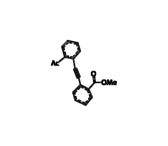 COC(=O)c1ccccc1C#Cc1ccccc1C(C)=O